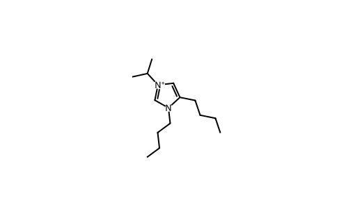 CCCCc1c[n+](C(C)C)cn1CCCC